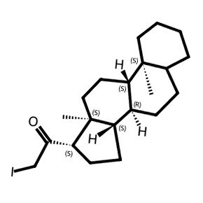 C[C@]12CC[C@H]3[C@@H](CCC4CCCC[C@@]43C)[C@@H]1CC[C@@H]2C(=O)CI